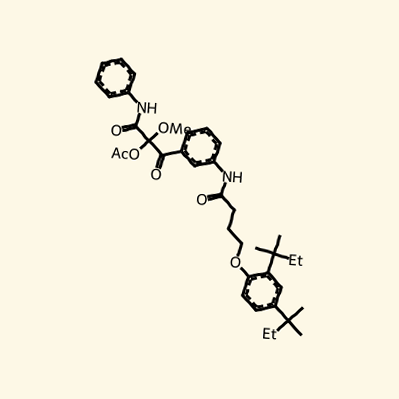 CCC(C)(C)c1ccc(OCCCC(=O)Nc2cccc(C(=O)C(OC)(OC(C)=O)C(=O)Nc3ccccc3)c2)c(C(C)(C)CC)c1